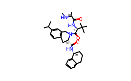 CN[C@@H](C)C(=O)N[C@H](C(=O)N1Cc2cc(C(C)C)ccc2C[C@H]1C(=O)N[C@@H]1CCCc2ccccc21)C(C)(C)C